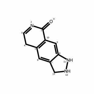 O=C1N=CCc2cc3c(cc21)NNC3